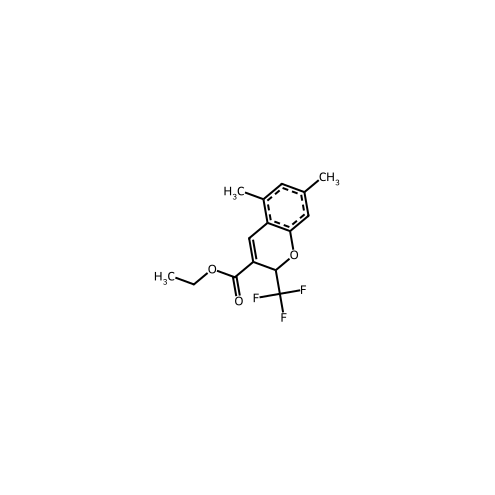 CCOC(=O)C1=Cc2c(C)cc(C)cc2OC1C(F)(F)F